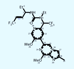 CCC(/C=C/C(F)(F)F)NC(=O)N(CC)C(c1cc(-c2cn3cc(C)nc3c(OC)n2)c(OC)cn1)C(F)(F)F